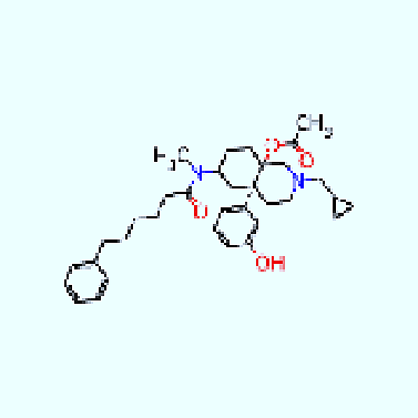 CC(=O)O[C@]12CC[C@H](N(C)C(=O)CCCCCc3ccccc3)C[C@]1(c1cccc(O)c1)CCN(CC1CC1)C2